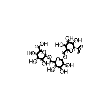 CC(C)[C@H]1OC(CO[C@H]2OC(CO[C@H]3OC(CO)[C@@H](O)C(O)C3O)[C@@H](O)C(O)C2O)[C@@H](O)C(O)C1O